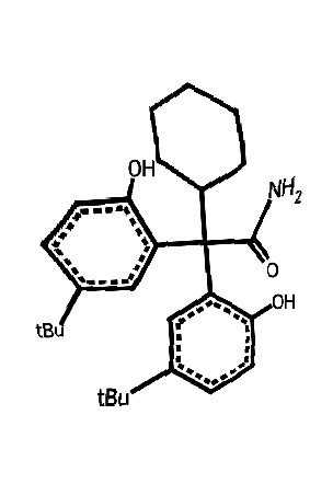 CC(C)(C)c1ccc(O)c(C(C(N)=O)(c2cc(C(C)(C)C)ccc2O)C2CCCCC2)c1